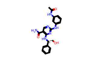 CC(=O)Nc1cccc(Nc2ncc(C(N)=O)c(N[C@H](CO)c3ccccc3)n2)c1